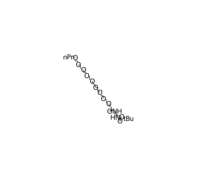 CCCOCCOCCOCCOCCOCCOCCOCCOCCOCCC(=O)NCCNC(=O)OC(C)(C)C